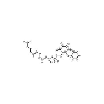 CC(C)=CCC/C(C)=C/CC/C(C)=C/CC[C@@](C)(O)CCc1c2oc3ccccc3nc-2c(C)c(C)c1=O